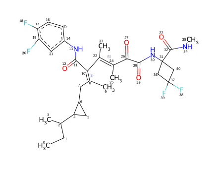 CCC(C)C1CC1C/C(C)=C(C(=O)Nc1ccc(F)c(F)c1)/C(C)=C(\C)C(=O)C(=O)NC1(C(=O)NC)CC(F)(F)C1